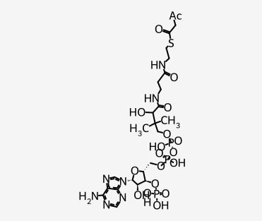 CC(=O)CC(=O)SCCNC(=O)CCNC(=O)C(O)C(C)(C)COP(=O)(O)OP(=O)(O)OC[C@H]1O[C@@H](n2cnc3c(N)ncnc32)[C@H](O)[C@@H]1OP(=O)(O)O